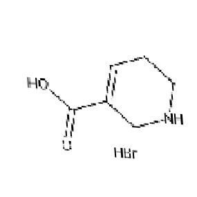 Br.O=C(O)C1=CCCNC1